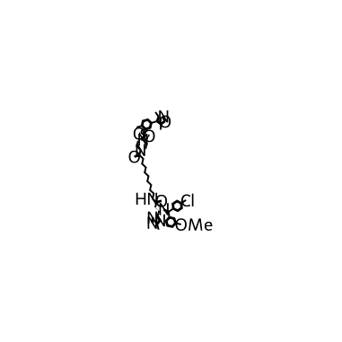 COc1ccc2c(c1)C(c1ccc(Cl)cc1)=N[C@@H](CC(=O)NCCCCCCCCCC(=O)N1CCN(S(=O)(=O)c3cc(-c4c(C)noc4C)ccc3C)CC1)c1nnc(C)n1-2